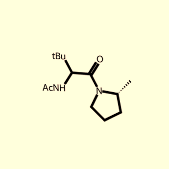 CC(=O)NC(C(=O)N1CCC[C@H]1C)C(C)(C)C